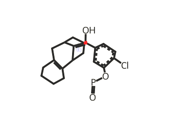 O=POc1cc(/C(O)=C2/C3CCCC2C2=C(CCCC2)C3)ccc1Cl